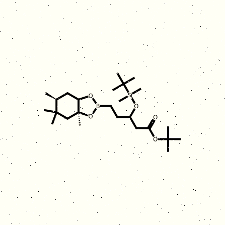 C[C@H]1CC2OB(CCC(CC(=O)OC(C)(C)C)O[Si](C)(C)C(C)(C)C)O[C@@]2(C)CC1(C)C